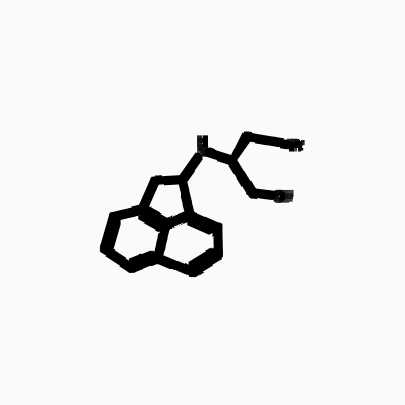 CC(C)C[C@@H](CO)NC1Cc2cccc3cccc1c23